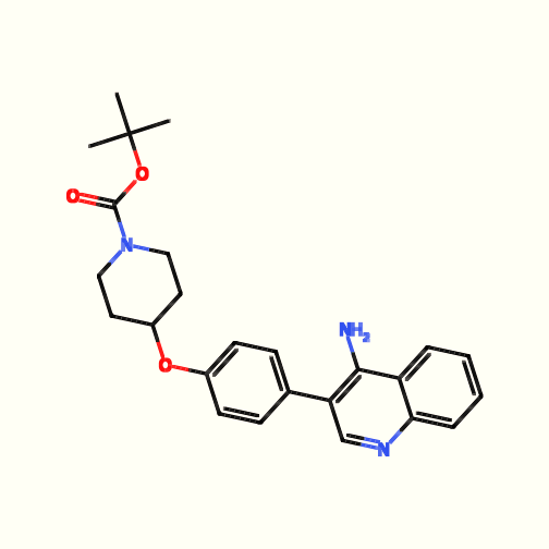 CC(C)(C)OC(=O)N1CCC(Oc2ccc(-c3cnc4ccccc4c3N)cc2)CC1